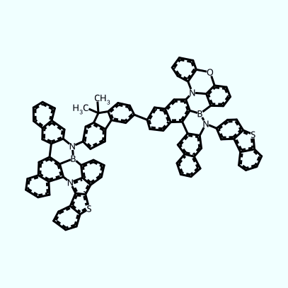 CC1(C)c2ccc(-c3ccc4c5c6c(cc4c3)N3c4ccccc4Oc4cccc(c43)B6N(c3ccc4sc6ccccc6c4c3)c3cc4ccccc4cc3-5)cc2-c2ccc(N3B4c5c(cc6ccccc6c5-n5c6c4cccc6c4sc6ccccc6c45)-c4cc5ccccc5cc43)cc21